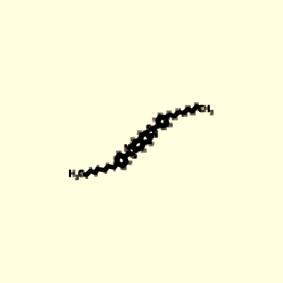 CCCCCCCCc1ccc(-c2nc3cc4cc5sc(-c6ccc(CCCCCCCC)cc6)nc5cc4cc3s2)cc1